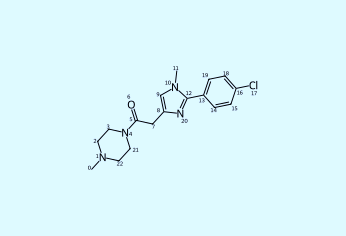 CN1CCN(C(=O)Cc2cn(C)c(-c3ccc(Cl)cc3)n2)CC1